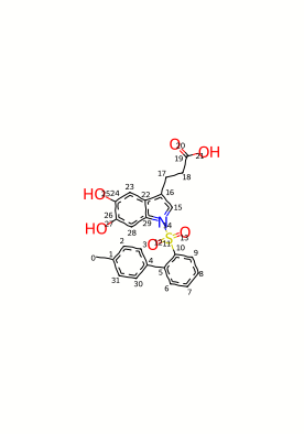 Cc1ccc(-c2ccccc2S(=O)(=O)n2cc(CCC(=O)O)c3cc(O)c(O)cc32)cc1